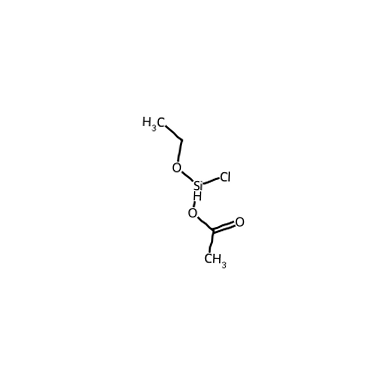 CCO[SiH](Cl)OC(C)=O